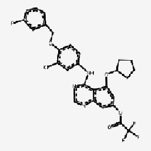 O=C(Oc1cc(OC2CCCC2)c2c(Nc3ccc(OCc4cccc(F)c4)c(Cl)c3)ncnc2c1)C(F)(F)F